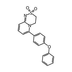 O=S1(=O)CCN2C(c3ccc(Oc4ccccc4)cc3)=CC=CC2=N1